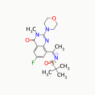 C/C(=N/[S@+]([O-])C(C)(C)C)c1cc(F)cc2c(=O)n(C)c(N3CCOCC3)nc12